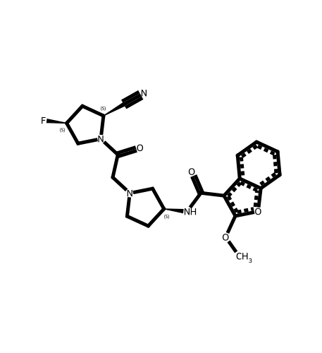 COc1oc2ccccc2c1C(=O)N[C@H]1CCN(CC(=O)N2C[C@@H](F)C[C@H]2C#N)C1